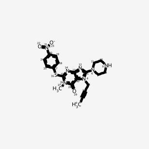 CC#CCn1c(N2CCNCC2)nc2nc(Sc3ccc([N+](=O)[O-])cc3)n(C)c(=O)c21